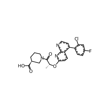 C[C@@H](Oc1ccc2c(-c3ccc(F)cc3Cl)ccnc2n1)C(=O)N1CCC[C@H](C(=O)O)C1